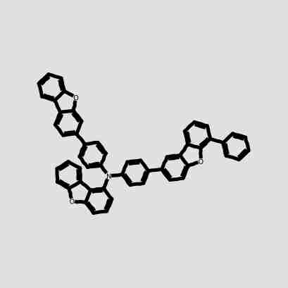 c1ccc(-c2cccc3c2oc2ccc(-c4ccc(N(c5ccc(-c6ccc7c(c6)oc6ccccc67)cc5)c5cccc6oc7ccccc7c56)cc4)cc23)cc1